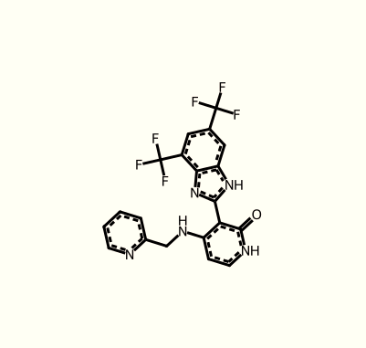 O=c1[nH]ccc(NCc2ccccn2)c1-c1nc2c(C(F)(F)F)cc(C(F)(F)F)cc2[nH]1